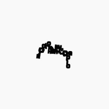 COCCCOc1cc(C[C@@H](C[C@H](N)[C@@H](O)CNC(=O)C(C)(C)Oc2ccc(C#N)cc2)C(C)C)ccc1OC